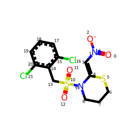 O=[N+]([O-])C=C1SCCCN1S(=O)(=O)Cc1c(Cl)cccc1Cl